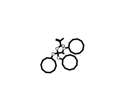 C=C(C)C(=O)OC(OC1CCCCCCCCC1)(OC1CCCCCCCCC1)C(C)OC1CCCCCCCCC1